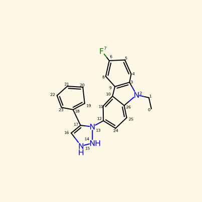 CCn1c2ccc(F)cc2c2cc(N3NNC=C3c3ccccc3)ccc21